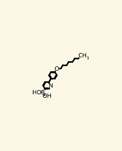 CCCCCCCCOc1ccc(-c2ccc(B(O)O)cn2)cc1